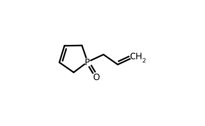 C=CCP1(=O)CC=CC1